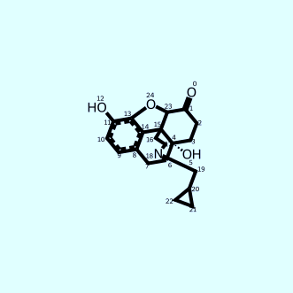 O=C1CC[C@@]2(O)C3Cc4ccc(O)c5c4C2(CCN3CC2CC2)C1O5